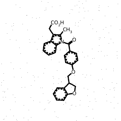 Cc1c(CC(=O)O)c2ccccc2n1C(=O)c1ccc(OCC2COc3ccccc32)cc1